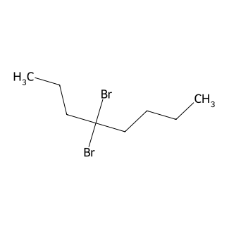 CCCCC(Br)(Br)CCC